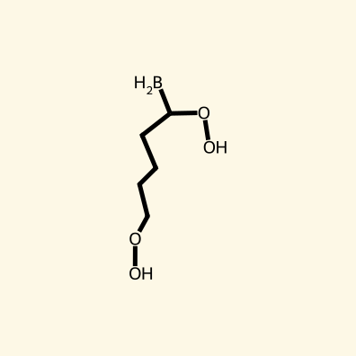 BC(CCCCOO)OO